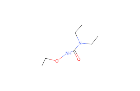 CCONC(=O)N(CC)CC